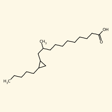 CCCCCC1CC1CC(C)CCCCCCCCC(=O)O